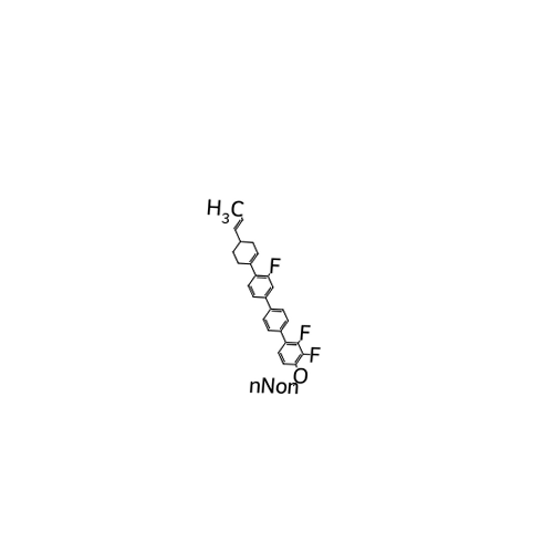 C/C=C/C1CC=C(c2ccc(-c3ccc(-c4ccc(OCCCCCCCCC)c(F)c4F)cc3)cc2F)CC1